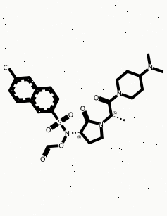 C[C@@H](C(=O)N1CCC(N(C)C)CC1)N1CC[C@H](N(OC=O)S(=O)(=O)c2ccc3cc(Cl)ccc3c2)C1=O